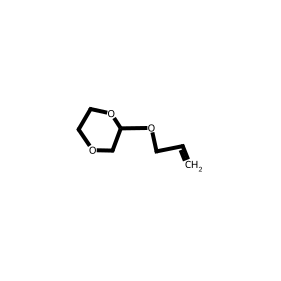 C=CCOC1COCCO1